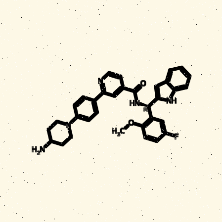 COc1ccc(F)cc1[C@@H](NC(=O)c1ccnc(-c2ccc(N3CCC(N)CC3)cc2)c1)c1cc2ccccc2[nH]1